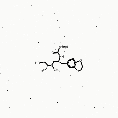 CCCCCCCC(=O)N[C@@H](Cc1ccc2c(c1)OCCO2)CN(C)[C@@H](CO)CCC